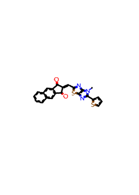 Cn1c(-c2cccs2)nc2sc(C=C3C(=O)c4cc5ccccc5cc4C3=O)nc21